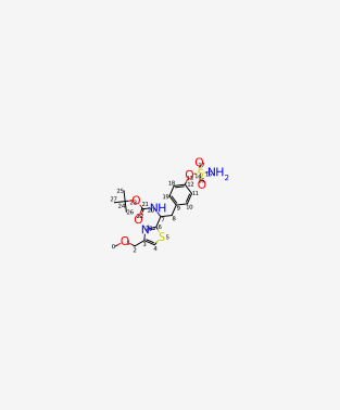 COCc1csc(C(Cc2ccc(OS(N)(=O)=O)cc2)NC(=O)OC(C)(C)C)n1